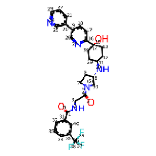 O=C(NCC(=O)N1CC[C@H](NC2CCC(O)(c3ccc(-c4cccnc4)cn3)CC2)C1)c1cccc(C(F)(F)F)c1